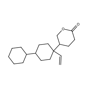 C=CC1(C2CCC(=O)OC2)CCC(C2CCCCC2)CC1